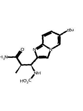 C[C@@H](C(N)=O)[C@H](NC(=O)O)c1cn2cc(C(C)(C)C)ccc2n1